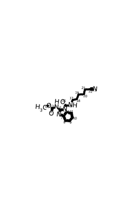 COC(=O)Nc1nc2ccccc2n1C(=O)NCCCCCC#N